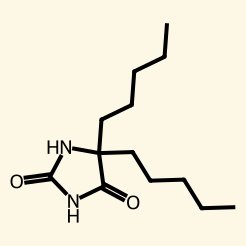 CCCCCC1(CCCCC)NC(=O)NC1=O